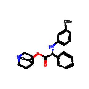 COc1cccc(N[C@@H](C(=O)OC2CN3CCC2CC3)c2ccccc2)c1